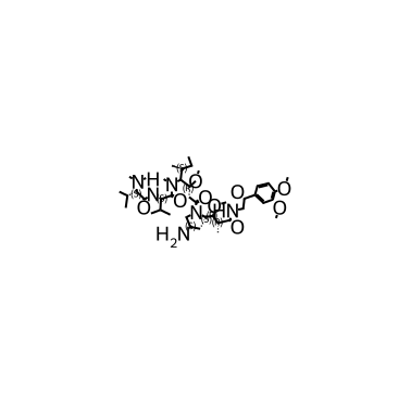 CC[C@H](C)C([C@@H](CC(=O)N1C[C@@H](N)C[C@H]1[C@H](OC)[C@@H](C)C(=O)NCC(=O)c1ccc(OC)c(OC)c1)OC)N(C)C(=O)[C@@H](NC(=O)[C@H](C(C)C)N(C)C)C(C)C